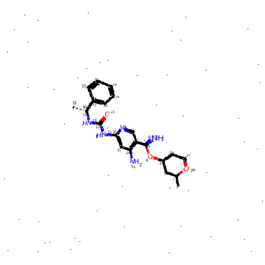 CC1CC(OC(=N)c2cnc(NC(=O)N[C@H](C)c3ccccc3)cc2N)CCO1